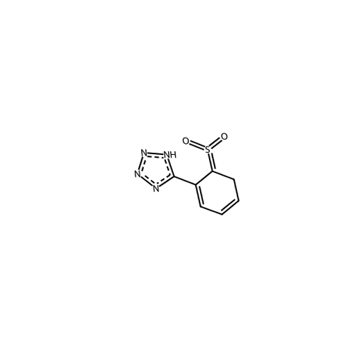 O=S(=O)=C1CC=CC=C1c1nnn[nH]1